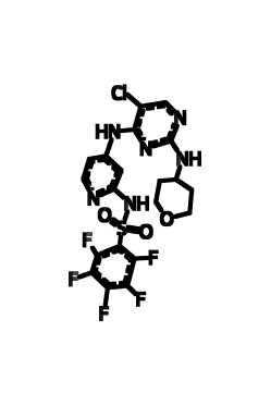 O=S(=O)(Nc1cc(Nc2nc(NC3CCOCC3)ncc2Cl)ccn1)c1c(F)c(F)c(F)c(F)c1F